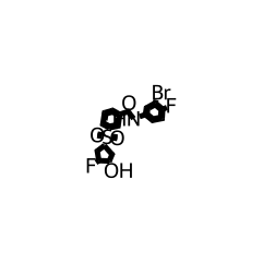 O=C(Nc1ccc(F)c(Br)c1)c1cccc(S(=O)(=O)C2CC(O)C(F)C2)c1